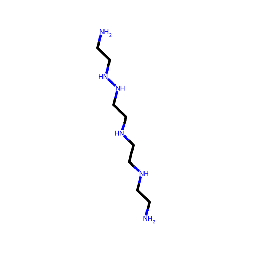 NCCNCCNCCNNCCN